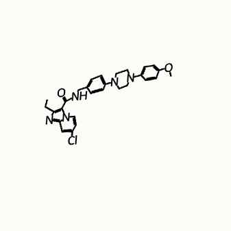 CCc1nc2cc(Cl)ccn2c1C(=O)NCc1ccc(N2CCN(c3ccc(OC)cc3)CC2)cc1